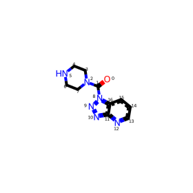 O=C(N1CCNCC1)n1nnc2ncccc21